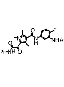 CC(=O)Nc1cc(NC(=O)c2c(C)c(C(=O)C(=O)NC(C)C)n(C)c2C)ccc1F